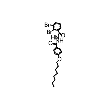 CCCCCCCCOc1ccc(C(=O)NNC(=O)c2cccc(Br)c2Br)cc1